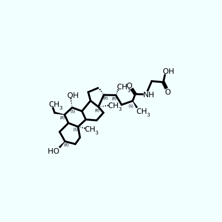 CC[C@@H]1C2C[C@H](O)CC[C@]2(C)C2CC[C@@]3(C)C(CC[C@@H]3[C@H](C)C[C@H](C)C(=O)NCC(=O)O)C2[C@H]1O